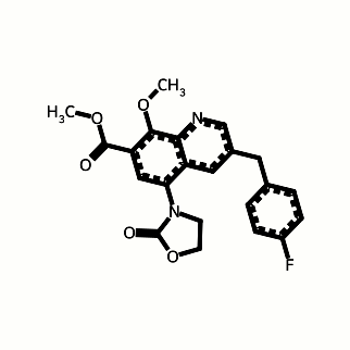 COC(=O)c1cc(N2CCOC2=O)c2cc(Cc3ccc(F)cc3)cnc2c1OC